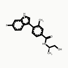 Cc1cc(C(=O)N[C@H](C)CO)ccc1-c1c[nH]c2cc(F)ccc12